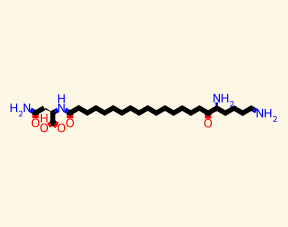 NCCCC[C@H](N)C(=O)CCCCCCCCCCCCCCCC(=O)N[C@@H](CC(N)=O)C(=O)O